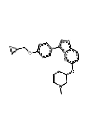 CN1CCCC(Oc2ccc3ncc(-c4ccc(OCC5CC5)cc4)n3n2)C1